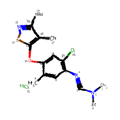 CCN(C)C=Nc1cc(C)c(Oc2snc(C(C)(C)C)c2C#N)cc1Cl.Cl